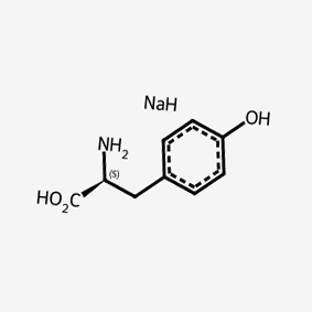 N[C@@H](Cc1ccc(O)cc1)C(=O)O.[NaH]